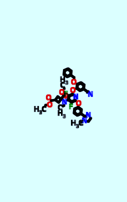 CCOC(=O)C1CC(C(=O)OCC)(N(CC)c2c(F)c(Oc3cccc(C4=NCCN4C)c3)nc(Oc3cc(C#N)ccc3OCc3ccccc3)c2F)C1